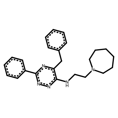 c1ccc(Cc2nc(-c3ccccc3)nnc2NCCN2CCCCCC2)cc1